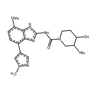 CCCCC1CN(C(=O)Nc2nc3c(-c4cnn(C)c4)ccc(OC)c3[nH]2)CCC1O